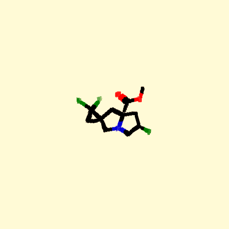 COC(=O)[C@]12C[C@@H](F)CN1C[C@]1(CC1(F)F)C2